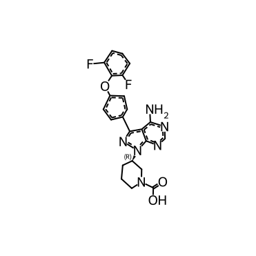 Nc1ncnc2c1c(-c1ccc(Oc3c(F)cccc3F)cc1)nn2[C@@H]1CCCN(C(=O)O)C1